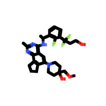 COCC1(O)CCN(c2cc3c(NC(C)c4cccc(C(F)(F)CCO)c4F)nc(C)nc3c3c2CCC3)CC1